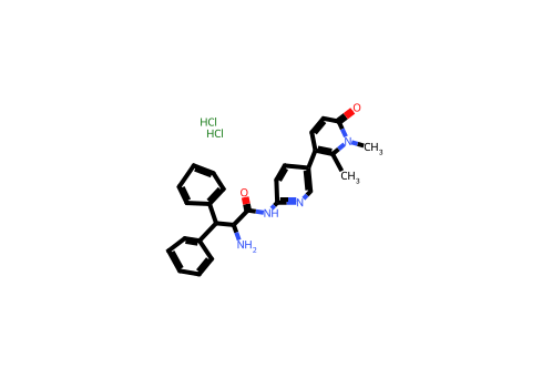 Cc1c(-c2ccc(NC(=O)C(N)C(c3ccccc3)c3ccccc3)nc2)ccc(=O)n1C.Cl.Cl